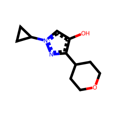 Oc1cn(C2CC2)nc1C1CCOCC1